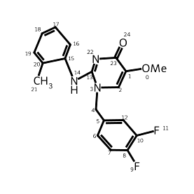 COc1cn(Cc2ccc(F)c(F)c2)c(Nc2ccccc2C)nc1=O